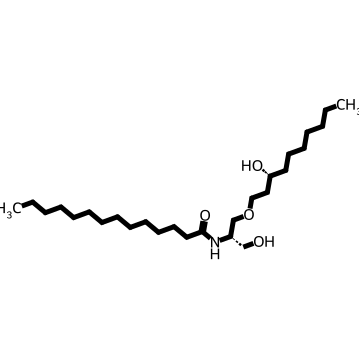 CCCCCCCCCCCCCC(=O)N[C@@H](CO)COCC[C@H](O)CCCCCCC